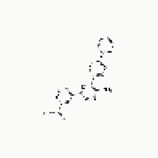 NC(=O)c1cccc(-c2cnc(N)c(C3=NN=C(c4ccccc4)CO3)n2)c1